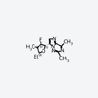 CC[C@H]1O[C@@H](c2cnc3c(C)nc(C)nn23)[C@H](F)[C@@H]1C